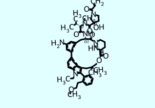 C=CC(=O)N1CC[C@](O)(C(=O)N(C)[C@H](C(=O)N[C@H]2Cc3cc(N)cc(c3)-c3ccc4c(c3)c(c(-c3ccccc3CCOC)n4CC)CC(C)(C)COC(=O)[C@@H]3CCCN(N3)C2=O)C(C)C)C1